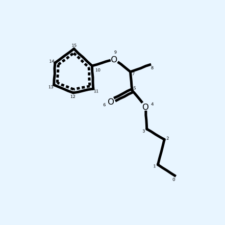 CCCCOC(=O)C(C)Oc1ccccc1